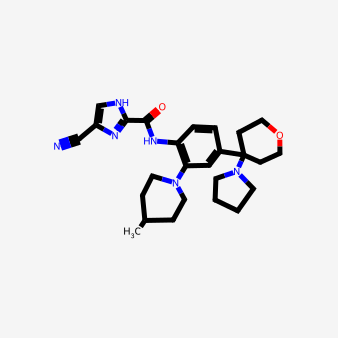 CC1CCN(c2cc(C3(N4CCCC4)CCOCC3)ccc2NC(=O)c2nc(C#N)c[nH]2)CC1